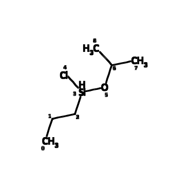 CCC[SiH](Cl)OC(C)C